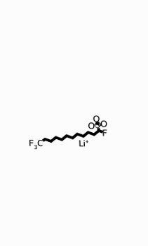 O=S(=O)([O-])C(F)CCCCCCCCCCC(F)(F)F.[Li+]